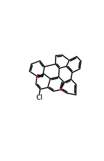 Clc1cccc2c(-c3c(-c4ccccc4)ccc4cccc(-c5ccccc5)c34)cccc12